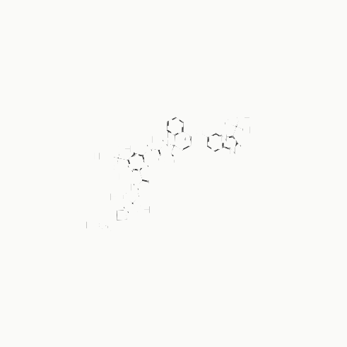 COC1CN(C(C)(C)CNC(=O)c2nc(NC(=O)N[C@@]3(C=O)C=C[C@@H](Oc4ccc5nnc(C(C)(C)C)n5c4)c4ccccc43)cc(C(C)(C)C)n2)C1